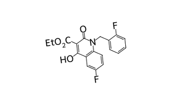 CCOC(=O)c1c(O)c2cc(F)ccc2n(Cc2ccccc2F)c1=O